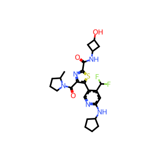 CC1CCCN1C(=O)c1nc(C(=O)NC2CC(O)C2)sc1-c1cnc(NC2CCCC2)cc1C(F)F